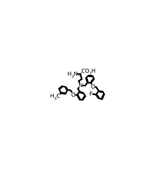 Cc1cccc(COc2ccccc2CN(CC[C@H](N)C(=O)O)Cc2ccccc2OCc2ccccc2F)c1